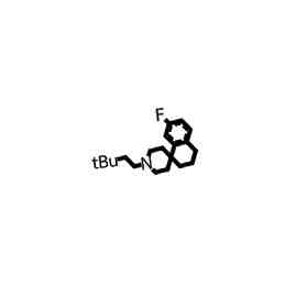 CC(C)(C)CCN1CCC2(CCCc3ccc(F)cc32)CC1